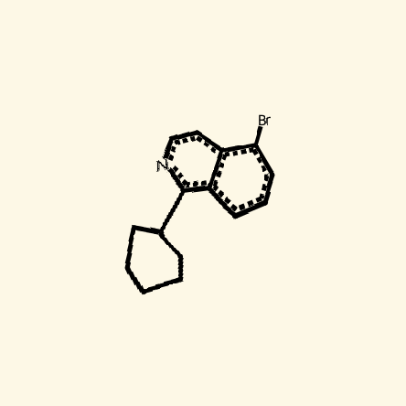 Brc1cccc2c(C3CCCCC3)nccc12